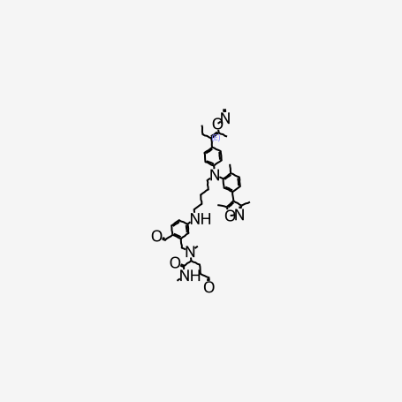 C=NO/C(C)=C(\CC)c1ccc(N(CCCCCNc2ccc(C=O)c(CN(C)C(CCC=O)C(=O)NC)c2)c2cc(-c3c(C)noc3C)ccc2C)cc1